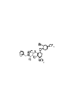 CC(Oc1c([N+](=O)[O-])ccc(Oc2ccc(C(F)(F)F)cc2Br)c1[N+](=O)[O-])C(=O)NCc1ccco1